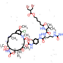 COc1cc2cc(c1Cl)N(C)C(=O)C[C@H](OC(=O)Nc1ccc(NC(=O)[C@H](CCCNC(N)=O)NC(=O)[C@@H](NC(=O)CCCCCOC(=O)C(CBr)CBr)C(C)C)cc1Br)[C@]1(C)O[C@H]1[C@H](C)[C@@H]1C[C@@](O)(NC(=O)O1)[C@H](OC)/C=C/C=C(\C)C2